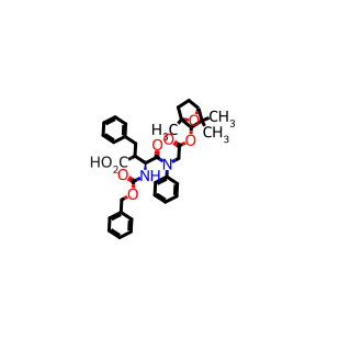 CC12CCC(O1)C(C)(C)C2OC(=O)CN(C(=O)[C@@H](NC(=O)OCc1ccccc1)C(Cc1ccccc1)C(=O)O)c1ccccc1